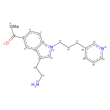 COC(=O)c1ccc2c(c1)c(CCN)cn2CCCc1cccnc1